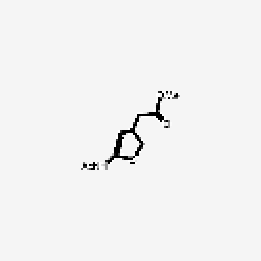 COC(=O)CC1C=C(NC(C)=O)SC1